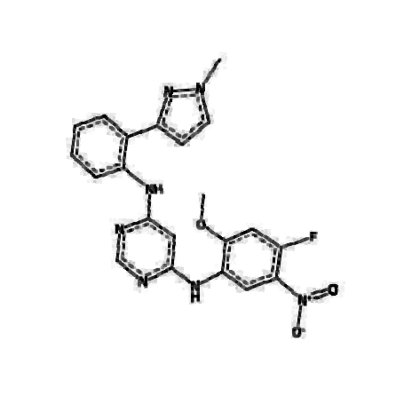 COc1cc(F)c([N+](=O)[O-])cc1Nc1cc(Nc2ccccc2-c2ccn(C)n2)ncn1